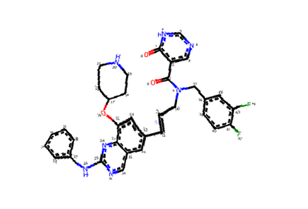 O=C(c1cnc[nH]c1=O)N(C/C=C/c1cc(OC2CCNCC2)c2nc(Nc3ccccc3)ncc2c1)Cc1ccc(F)c(F)c1